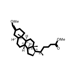 COC=C1CC[C@@]2(C)[C@@H](CC[C@@H]3[C@@H]2CC[C@]2(C)[C@@H]([C@H](C)CCCC(=O)OC)CC[C@@H]32)C1